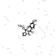 CC(C)(C)OC(=O)N1CCC[C@H]1C(=O)NC(=O)c1ccc(C#N)cc1Cl